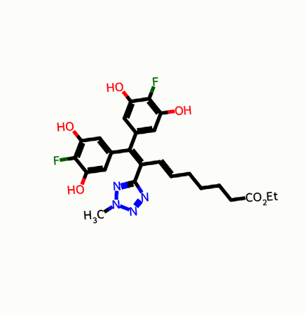 CCOC(=O)CCCCC=CC(=C(c1cc(O)c(F)c(O)c1)c1cc(O)c(F)c(O)c1)c1nnn(C)n1